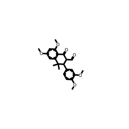 COc1cc(OC)c2c(c1)C(C)(C)C(c1ccc(OC)c(OC)c1)C(C=O)C2=O